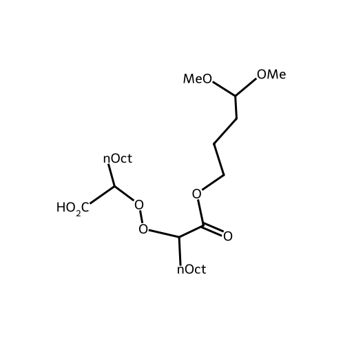 CCCCCCCCC(OOC(CCCCCCCC)C(=O)OCCCC(OC)OC)C(=O)O